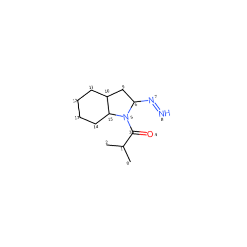 CC(C)C(=O)N1C(N=N)CC2CCCCC21